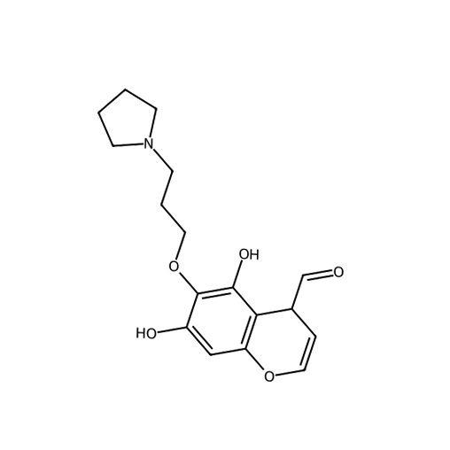 O=CC1C=COc2cc(O)c(OCCCN3CCCC3)c(O)c21